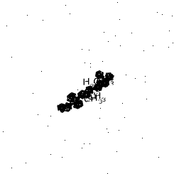 CC1(C)c2cc(-c3ccc4c(c3)C(C)(C)c3c-4ccc4c5ccccc5n(-c5ccccc5)c34)ccc2-c2ccc(-c3c4ccccc4c(-c4ccc5ccccc5c4)c4ccccc34)cc21